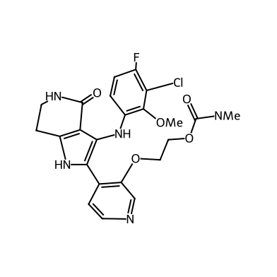 CNC(=O)OCCOc1cnccc1-c1[nH]c2c(c1Nc1ccc(F)c(Cl)c1OC)C(=O)NCC2